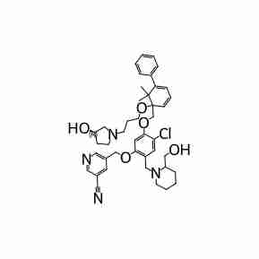 CC1(C)C(c2ccccc2)=CC=CC1(COc1cc(OCc2cncc(C#N)c2)c(CN2CCCCC2CO)cc1Cl)OCCCN1CC[C@@H](O)C1